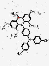 COc1cc(OC)c(N(C2=CC=C(N(c3ccc(C)cc3)c3ccc(C)cc3)CC2)c2c(OC)cc(OC)cc2OC)c(OC)c1